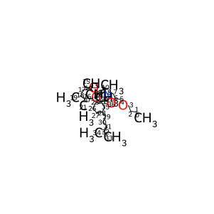 CCCCOCC1CN(C(C)C(=O)OC(C)(C)CC(C)CC)C(C2(C)CCC=C(CCC=C(C)C)C2)O1